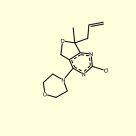 C=CCC1(C)OCc2c(N3CCOCC3)nc(Cl)nc21